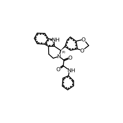 O=C(Nc1ccccc1)C(=O)N1CCc2c([nH]c3ccccc23)[C@H]1c1ccc2c(c1)OCO2